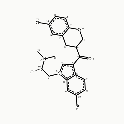 C[C@@H](Cn1cc(C(=O)C2COc3ccc(Cl)cc3C2)c2ccc(Br)cc21)N(C)C